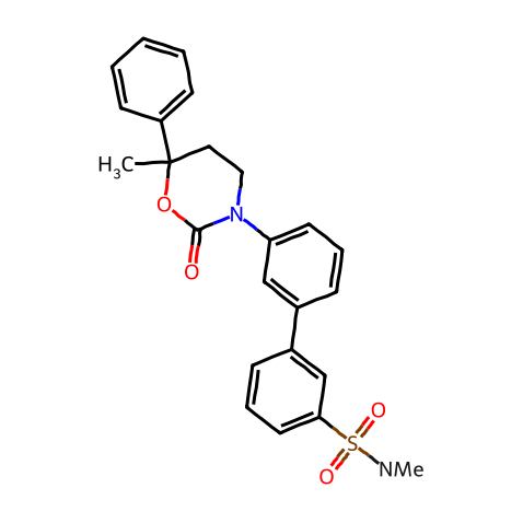 CNS(=O)(=O)c1cccc(-c2cccc(N3CCC(C)(c4ccccc4)OC3=O)c2)c1